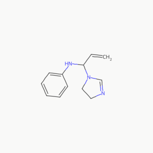 C=CC(Nc1ccccc1)N1C=NCC1